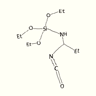 CCO[Si](NC(CC)N=C=O)(OCC)OCC